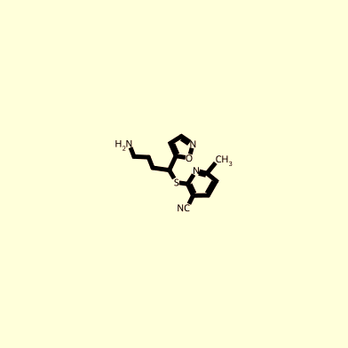 Cc1ccc(C#N)c(SC(CCCN)c2ccno2)n1